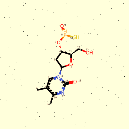 Cc1cn([C@H]2C[C@H](O[PH](=O)S)[C@@H](CO)O2)c(=O)nc1C